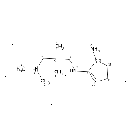 CN(C)CC(C)(C)CNC1=NCCN1N